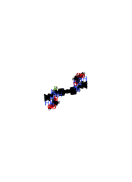 COC(=O)N[C@H](C(=O)N1CC2(CC2)C[C@H]1c1nc(F)c(-c2ccc(C#Cc3ccc4nc([C@@H]5CC6(CC6)CN5C(=O)[C@@H](NC(=O)OC)C(C)C)[nH]c4c3)cc2)[nH]1)C(C)C